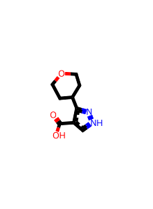 O=C(O)c1c[nH]nc1C1CCOCC1